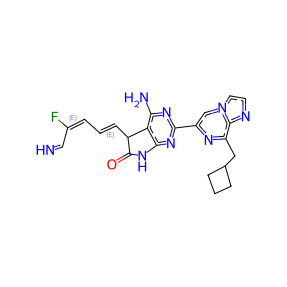 N=C/C(F)=C\C=C\C1C(=O)Nc2nc(-c3cn4ccnc4c(CC4CCC4)n3)nc(N)c21